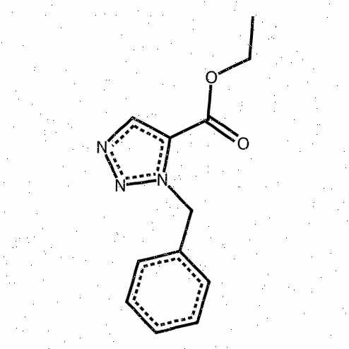 CCOC(=O)c1cnnn1Cc1ccccc1